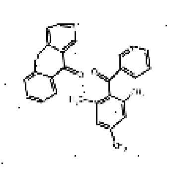 Cc1cc(C)c(C(=O)c2ccccc2)c(C)c1.O=c1c2ccccc2oc2ccccc12